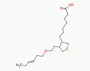 CCC=CCCOCCC1CSCC1CCCCCCC(=O)O